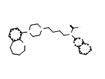 NC(=O)N(CCCCN1CCN(c2cccc3c2OCCCC3)CC1)c1nc2cccnc2[nH]1